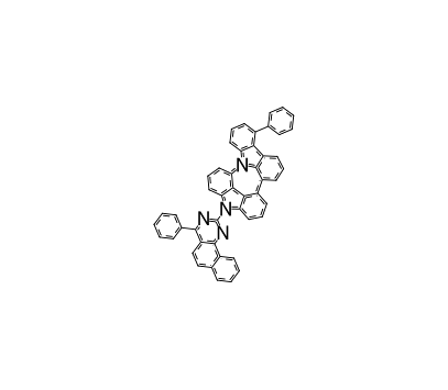 c1ccc(-c2nc(-n3c4cccc5c6cccc7c8c(-c9ccccc9)cccc8n(c8cccc3c8c54)c67)nc3c2ccc2ccccc23)cc1